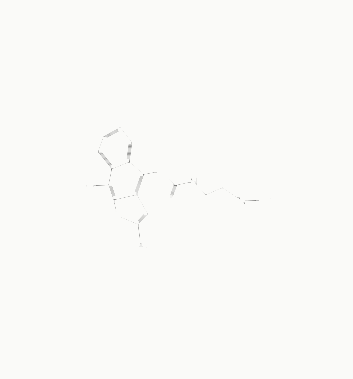 CCCNCCNC(=O)Oc1c2ccccc2c(O)c2oc(C(C)=O)cc12